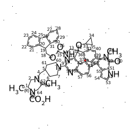 C[C@@H]1CN(CC2CCN(c3nc(C(CNC(=O)OCC4c5ccccc5-c5ccccc54)(OC4CC4)c4ccccc4)c4cc(-c5cn(C)c(=O)c6[nH]ccc56)ccc4n3)CC2)[C@@H](C)CN1C(=O)O